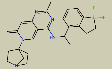 C=C1C=c2nc(C)nc(NC(C)c3cccc4c3CCC4(F)F)c2=CN1C12CCN(CC1)C2